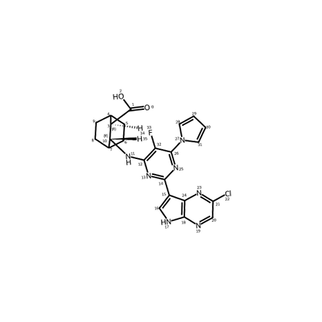 O=C(O)[C@@H]1C2CCC(CC2)[C@H]1Nc1nc(-c2c[nH]c3ncc(Cl)nc23)nc(-n2cccc2)c1F